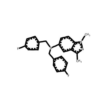 Cc1nn(C)c2ccc(N(Cc3ccc(F)cc3)Cc3ccc(F)cc3)cc12